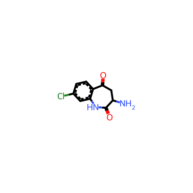 NC1CC(=O)c2ccc(Cl)cc2NC1=O